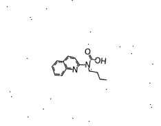 CCCCN(C(=O)O)c1ccc2ccccc2n1